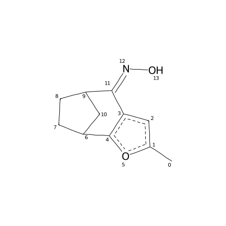 Cc1cc2c(o1)C1CCC(C1)/C2=N/O